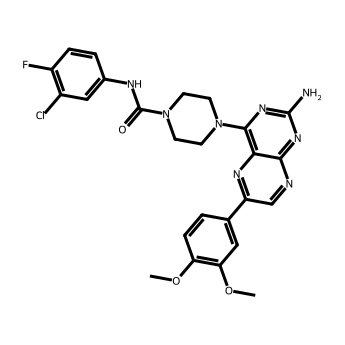 COc1ccc(-c2cnc3nc(N)nc(N4CCN(C(=O)Nc5ccc(F)c(Cl)c5)CC4)c3n2)cc1OC